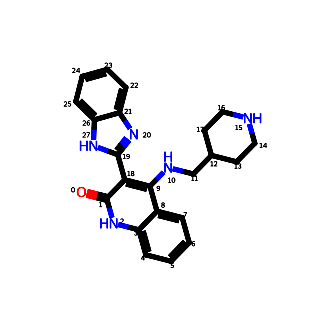 O=c1[nH]c2ccccc2c(NCC2CCNCC2)c1-c1nc2ccccc2[nH]1